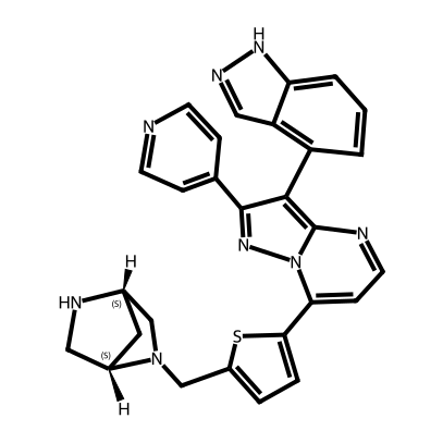 c1cc(-c2c(-c3ccncc3)nn3c(-c4ccc(CN5C[C@@H]6C[C@H]5CN6)s4)ccnc23)c2cn[nH]c2c1